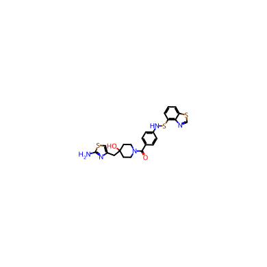 Nc1nc(CC2(O)CCN(C(=O)c3ccc(NSc4cccc5scnc45)cc3)CC2)cs1